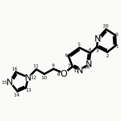 c1ccc(-c2ccc(OCCCn3ccnc3)nn2)nc1